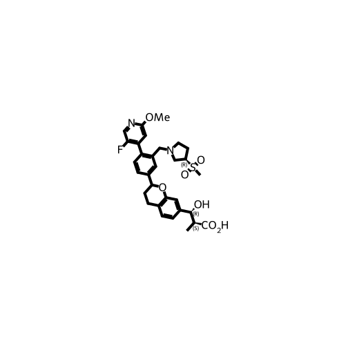 COc1cc(-c2ccc(C3CCc4ccc([C@H](O)[C@H](C)C(=O)O)cc4O3)cc2CN2CC[C@@H](S(C)(=O)=O)C2)c(F)cn1